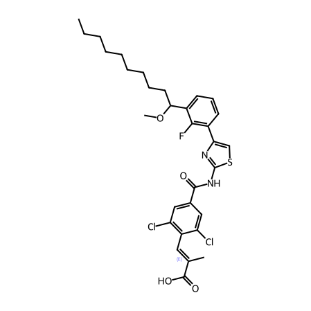 CCCCCCCCCC(OC)c1cccc(-c2csc(NC(=O)c3cc(Cl)c(/C=C(\C)C(=O)O)c(Cl)c3)n2)c1F